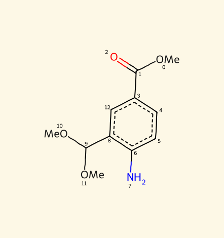 COC(=O)c1ccc(N)c(C(OC)OC)c1